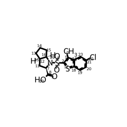 Cc1c(S(=O)(=O)N2[C@@H](C(=O)O)C[C@H]3CCC[C@H]32)sc2ccc(Cl)cc12